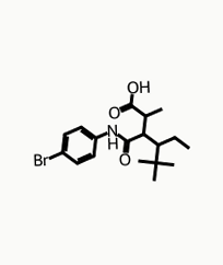 CCC(C(C(=O)Nc1ccc(Br)cc1)C(C)C(=O)O)C(C)(C)C